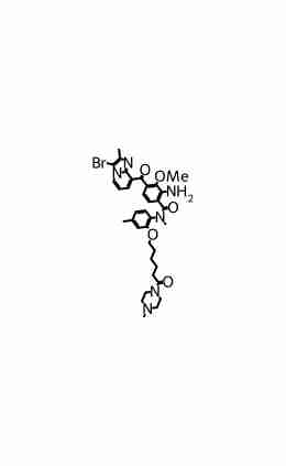 COc1c(C(=O)c2cccn3c(Br)c(C)nc23)ccc(C(=O)N(C)c2ccc(C)cc2OCCCCCC(=O)N2CCN(C)CC2)c1N